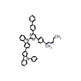 C=C/C=C\C=C(/C)c1ccc(-c2cc(-c3ccc(-c4ccccc4)cc3)nc(-n3c4ccccc4c4cc(-c5ccc6c7ccccc7n(-c7ccccc7)c6c5)ccc43)n2)cc1